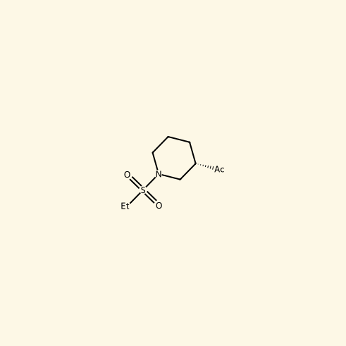 CCS(=O)(=O)N1CCC[C@H](C(C)=O)C1